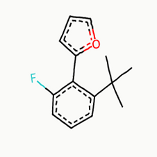 CC(C)(C)c1cccc(F)c1-c1ccco1